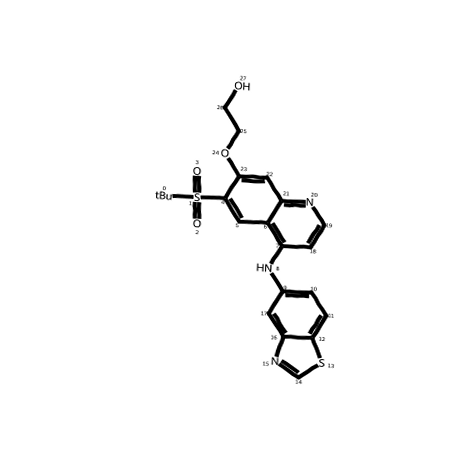 CC(C)(C)S(=O)(=O)c1cc2c(Nc3ccc4scnc4c3)ccnc2cc1OCCO